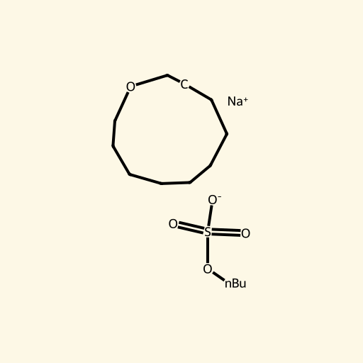 C1CCCCCOCCCC1.CCCCOS(=O)(=O)[O-].[Na+]